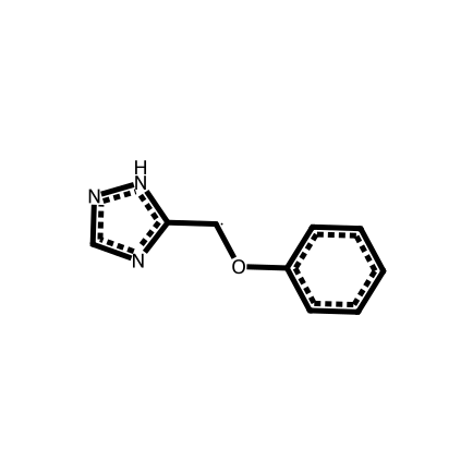 [CH](Oc1ccccc1)c1ncn[nH]1